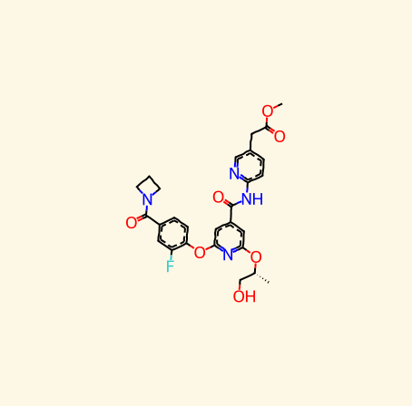 COC(=O)Cc1ccc(NC(=O)c2cc(Oc3ccc(C(=O)N4CCC4)cc3F)nc(O[C@H](C)CO)c2)nc1